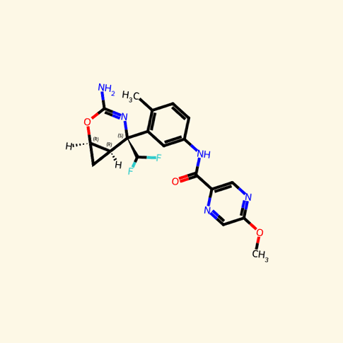 COc1cnc(C(=O)Nc2ccc(C)c([C@@]3(C(F)F)N=C(N)O[C@@H]4C[C@@H]43)c2)cn1